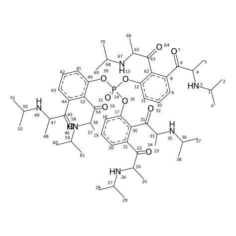 CC(C)NC(C)C(=O)c1cccc(OP(=O)(Oc2cccc(C(=O)C(C)NC(C)C)c2C(=O)C(C)NC(C)C)Oc2cccc(C(=O)C(C)NC(C)C)c2C(=O)C(C)NC(C)C)c1C(=O)C(C)NC(C)C